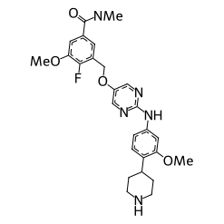 CNC(=O)c1cc(COc2cnc(Nc3ccc(C4CCNCC4)c(OC)c3)nc2)c(F)c(OC)c1